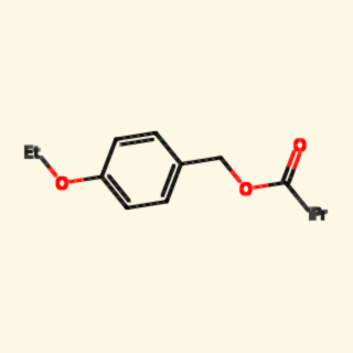 CCOc1ccc(COC(=O)C(C)C)cc1